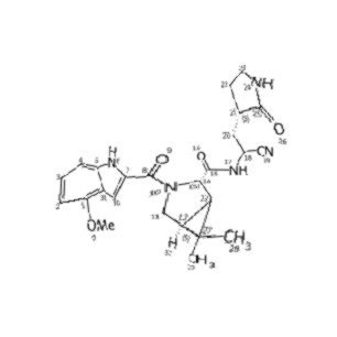 COc1cccc2[nH]c(C(=O)N3C[C@H]4C([C@H]3C(=O)NC(C#N)C[C@@H]3CCNC3=O)C4(C)C)cc12